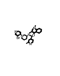 Cc1cc(CN(Cc2cn(C)c3ccccc3c2=O)[C@H]2CCCN(c3ccncc3Br)C2)ccn1